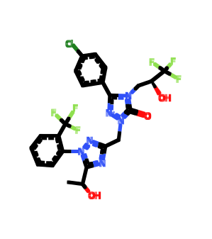 CC(O)c1nc(Cn2nc(-c3ccc(Cl)cc3)n(C[C@H](O)C(F)(F)F)c2=O)nn1-c1ccccc1C(F)(F)F